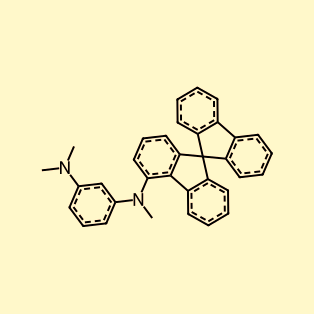 CN(C)c1cccc(N(C)c2cccc3c2-c2ccccc2C32c3ccccc3-c3ccccc32)c1